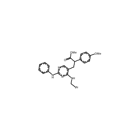 COC(=O)C(Cc1cnc(Nc2ccccc2)nc1NCC(C)C)c1ccc(OC)cc1